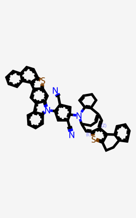 N#Cc1cc(-n2c3ccccc3c3cc4c(cc32)sc2ccc3ccccc3c24)c(C#N)cc1N1C2=C(CCC=C2)C2=CCC1/C=c1/sc3c(/c1=C/2)-c1ccccc1CC3